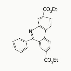 CCOC(=O)c1ccc2c(c1)nc(-c1ccccc1)c1cc(C(=O)OCC)ccc12